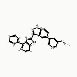 COc1cncc(-c2ccc3[nH]nc(-c4nc5c(-c6ccccn6)nccc5[nH]4)c3c2)c1